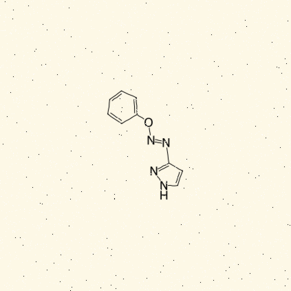 c1ccc(ON=Nc2cc[nH]n2)cc1